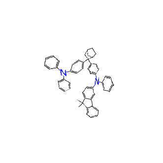 CC1(C)c2ccccc2-c2cc(N(c3ccccc3)c3ccc(C4(c5ccc(N(c6ccccc6)c6ccccc6)cc5)CC5CCC4C5)cc3)ccc21